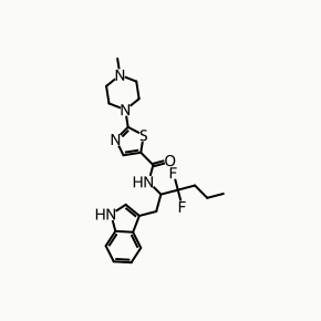 CCCC(F)(F)C(Cc1c[nH]c2ccccc12)NC(=O)c1cnc(N2CCN(C)CC2)s1